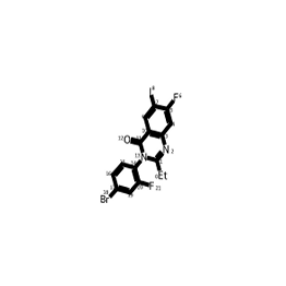 CCc1nc2cc(F)c(I)cc2c(=O)n1-c1ccc(Br)cc1F